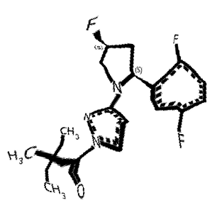 CC(C)(C)C(=O)n1ccc(N2C[C@@H](F)C[C@H]2c2cc(F)ccc2F)n1